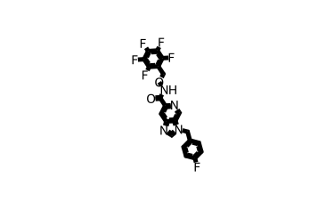 O=C(NOCc1c(F)c(F)c(F)c(F)c1F)c1cc2ncn(Cc3ccc(F)cc3)c2cn1